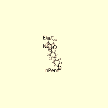 CCCCCOc1ccc(-c2ccc(OC(=O)C3(C#N)CCCC(CC)C3)cc2)cc1